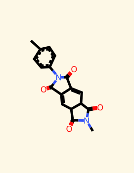 Cc1ccc(N2C(=O)C3=CC4C(=O)N(C)C(=O)C4C=C3C2=O)cc1